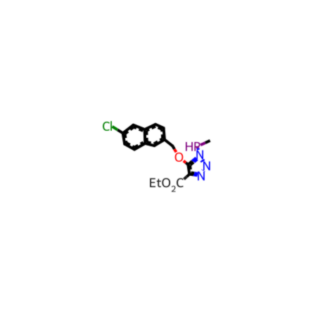 CCOC(=O)c1nnn(PC)c1OCc1ccc2cc(Cl)ccc2c1